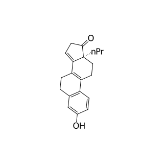 CCC[C@]12CCC3=C(CCc4cc(O)ccc43)C1=CCC2=O